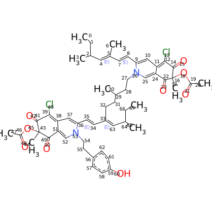 CCC(C)/C=C(C)/C=C/C1=CC2=C(Cl)C(=O)C(C)(OC(C)=O)C(=O)C2=CN1CCC(C)CCC(/C=C/C1=CC2=C(Cl)C(=O)C(C)(OC(C)=O)C(=O)C2=CN1CCc1ccc(O)cc1)=C\C(C)CC